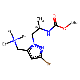 CC[N+](CC)(CC)Cc1cc(Br)nn1C[C@@H](C)NC(=O)OC(C)(C)C